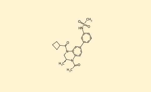 CC(=O)N1c2ccc(-c3cccc(NS(C)(=O)=O)c3)cc2N(C(=O)C2CCC2)C[C@@H]1C